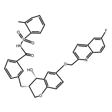 Cc1ccccc1S(=O)(=O)NC(=O)c1cccc(C[C@H]2COc3ccc(OCc4ccc5cc(F)ccc5n4)cc3[C@H]2O)c1